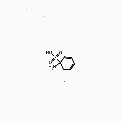 NC1(S(=O)(=O)O)C=CC=CC1